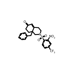 O=C1C=C2CCN(S(=O)(=O)c3ccc(C(F)(F)F)cc3[N+](=O)[O-])CC2(Cc2ccccc2)CC1